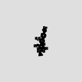 CC(=Cc1cnn2c(O)c(C(=O)NC3CC3)c(=O)n(CC(C)C)c12)C(=O)N1CCN(C2CC(F)(F)C2)CC1